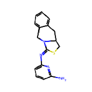 Nc1cccc(N=C2SCC3Cc4ccccc4CN23)n1